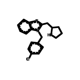 Clc1ccc(Cn2c(CC3CCCN3)nc3ccccc32)cc1